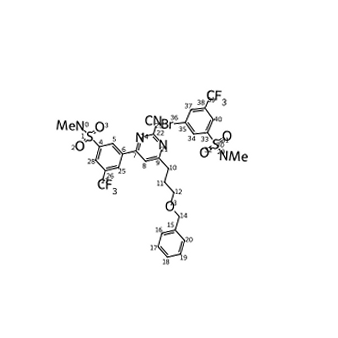 CNS(=O)(=O)c1cc(-c2cc(CCCOCc3ccccc3)nc(C#N)n2)cc(C(F)(F)F)c1.CNS(=O)(=O)c1cc(Br)cc(C(F)(F)F)c1